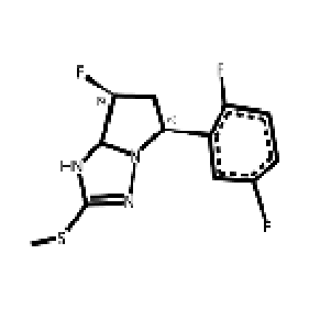 CSC1=NN2C(N1)[C@@H](F)C[C@H]2c1cc(F)ccc1F